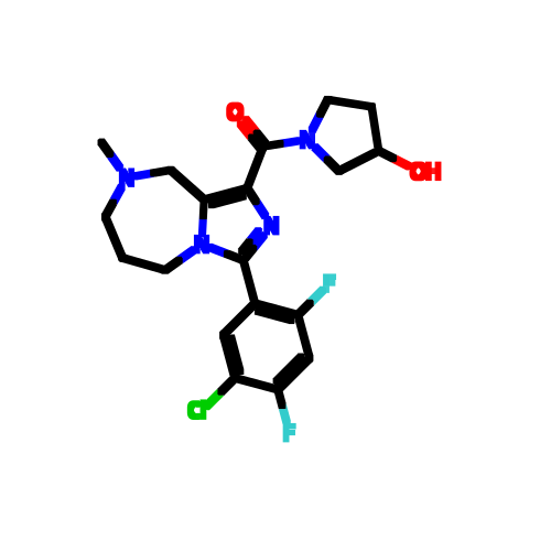 CN1CCCn2c(-c3cc(Cl)c(F)cc3F)nc(C(=O)N3CCC(O)C3)c2C1